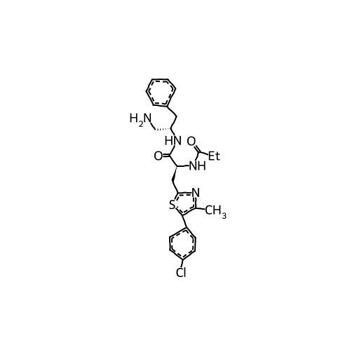 CCC(=O)N[C@@H](Cc1nc(C)c(-c2ccc(Cl)cc2)s1)C(=O)N[C@H](CN)Cc1ccccc1